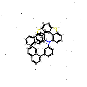 c1ccc(N(c2cccc(-c3cccc4ccccc34)c2)c2cccc3sc4ccc5sc6c7ccccc7ccc6c5c4c23)cc1